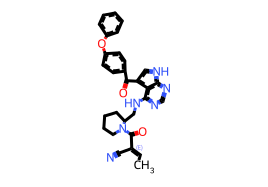 C/C=C(\C#N)C(=O)N1CCCCC1CNc1ncnc2[nH]cc(C(=O)c3ccc(Oc4ccccc4)cc3)c12